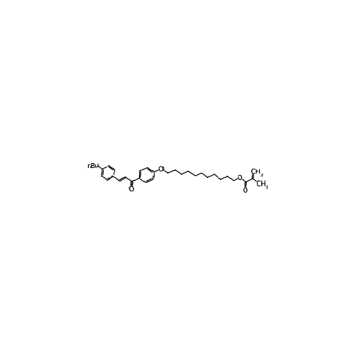 C=C(C)C(=O)OCCCCCCCCCCCOc1ccc(C(=O)/C=C/c2ccc(CCCC)cc2)cc1